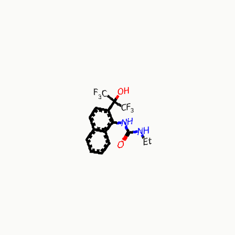 CCNC(=O)Nc1c(C(O)(C(F)(F)F)C(F)(F)F)ccc2ccccc12